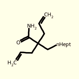 C=CCC(CC=C)(CCCCCCCC)C(N)=O